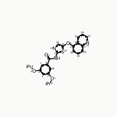 CC(C)Oc1cc(OC(C)C)cc(C(=O)Nc2ncc(Oc3cccc4ncccc34)s2)c1